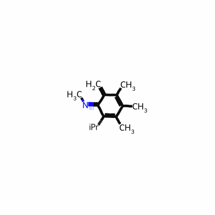 C=C1C(C)=C(C)C(C)=C(C(C)C)/C1=N/C